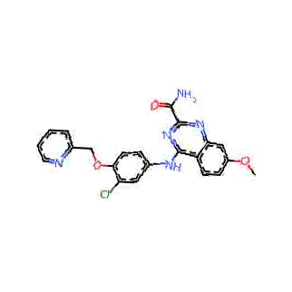 COc1[c]cc2c(Nc3ccc(OCc4ccccn4)c(Cl)c3)nc(C(N)=O)nc2c1